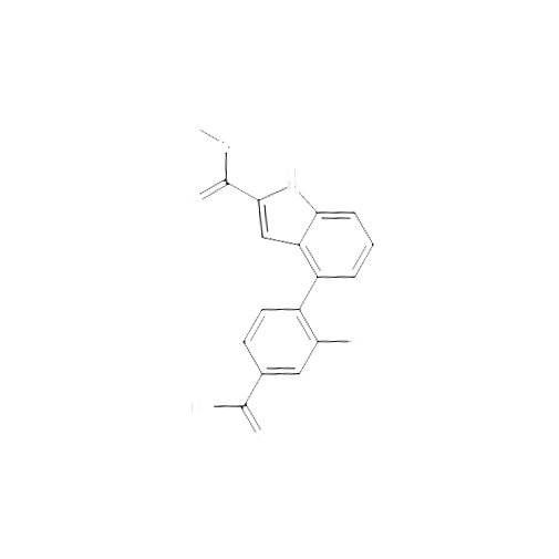 CNC(=O)c1cc2c(-c3ccc(C(=O)O)cc3Cl)cccc2[nH]1